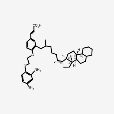 CC(CCC[C@@H](C)[C@H]1CC[C@H]2[C@@H]3CCC4CCCC[C@]4(C)[C@H]3CC[C@]12C)Cc1cc(C=CC(=O)O)ccc1OCCOc1ccc(N)cc1N